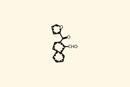 O=[C]c1c(C(=O)c2ccco2)ccc2ccccc12